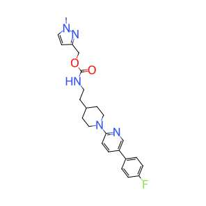 Cn1ccc(COC(=O)NCCC2CCN(c3ccc(-c4ccc(F)cc4)cn3)CC2)n1